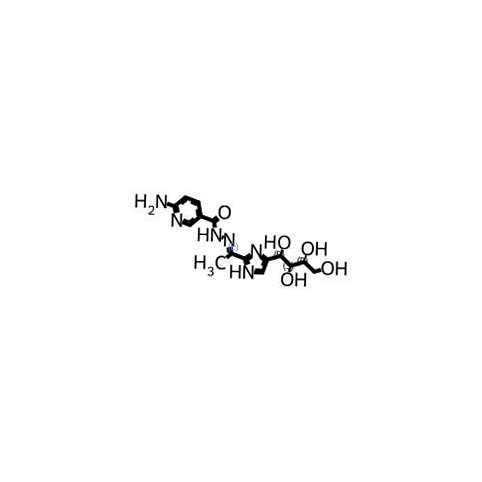 C/C(=N\NC(=O)c1ccc(N)nc1)c1nc([C@@H](O)[C@H](O)[C@H](O)CO)c[nH]1